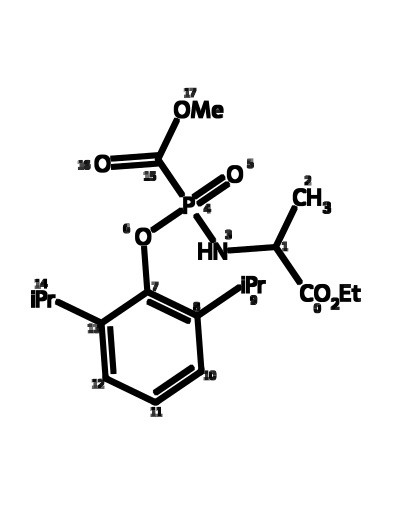 CCOC(=O)C(C)NP(=O)(Oc1c(C(C)C)cccc1C(C)C)C(=O)OC